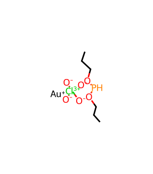 CCCOPOCCC.[Au+].[O-][Cl+3]([O-])([O-])[O-]